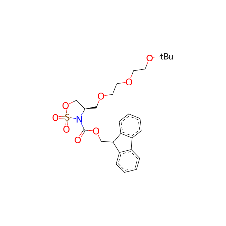 CC(C)(C)OCCOCCOC[C@@H]1COS(=O)(=O)N1C(=O)OCC1c2ccccc2-c2ccccc21